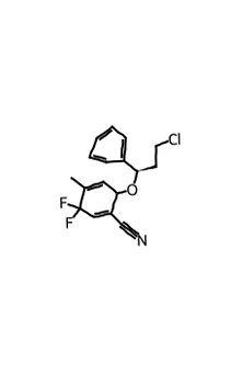 CC1=CC(O[C@H](CCCl)c2ccccc2)C(C#N)=CC1(F)F